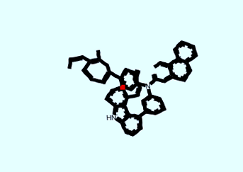 C=C/C=C\c1c(C)ccc2[nH]c3cccc(-c4cccc(N(C(=C)/C=c5/ccc6ccccc6/c5=C/C)c5ccc(C6=CC=CC(/C=C\C)=C(C)C6)cc5)c4)c3c12